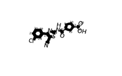 N#Cc1sc(NC(=O)[C@H]2CC[C@@H](C(=O)O)C2)nc1-c1cccc(Cl)c1